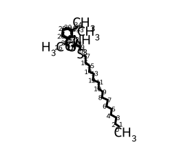 CCCCCCCCCCCCCCCCCCSCC(=O)Nc1c(C(C)C)cccc1C(C)C